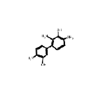 Nc1ccc(-c2ccc(N)c(O)c2N)cc1O